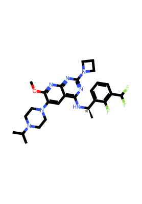 COc1nc2nc(N3CCC3)nc(N[C@H](C)c3cccc(C(F)F)c3F)c2cc1N1CCN(C(C)C)CC1